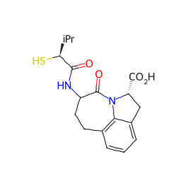 CC(C)[C@H](S)C(=O)NC1CCc2cccc3c2N(C1=O)[C@H](C(=O)O)C3